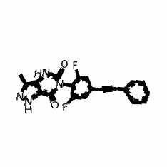 Cc1n[nH]c2c(=O)n(-c3c(F)cc(C#Cc4ccccc4)cc3F)c(=O)[nH]c12